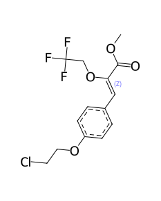 COC(=O)/C(=C/c1ccc(OCCCl)cc1)OCC(F)(F)F